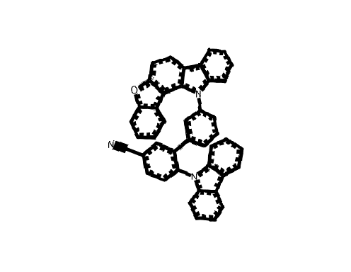 N#Cc1ccc(-n2c3ccccc3c3ccccc32)c(-c2cccc(-n3c4ccccc4c4ccc5oc6ccccc6c5c43)c2)c1